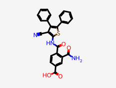 N#Cc1c(NC(=O)c2ccc(C(=O)O)cc2C(N)=O)sc(-c2ccccc2)c1-c1ccccc1